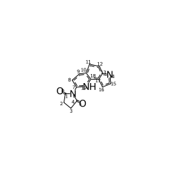 O=C1CCC(=O)N1c1ccc2ccc3nccc3c2[nH]1